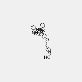 C#CCN1CCN(CCCOc2ccc3c(c2)cc(C(=O)Nc2ccccc2N)n3S(=O)(=O)c2ccccc2)CC1